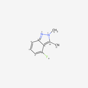 Cn1nc2cccc(F)c2c1C#N